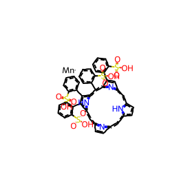 O=S(=O)(O)c1ccccc1C1=Cc2cc3ccc(cc4nc(cc5[nH]c(c(-c6ccccc6S(=O)(=O)O)c1n2)c(-c1ccccc1S(=O)(=O)O)c5-c1ccccc1S(=O)(=O)O)C=C4)[nH]3.[Mn]